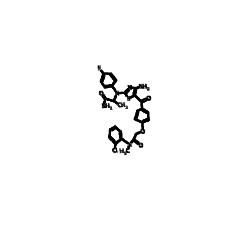 CC(C(N)=O)N(c1ccc(F)cc1)c1nc(N)c(C(=O)c2ccc(OCC(=O)N(C)c3ccccc3Cl)cc2)s1